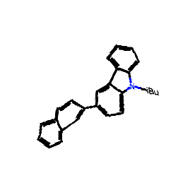 CCC(C)n1c2ccccc2c2cc(-c3ccc4ccccc4c3)ccc21